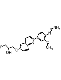 COc1cc(-c2ccc3cc(OCC(O)CF)ccc3n2)ccc1N=NN